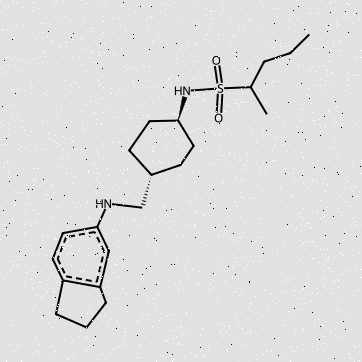 CCCC(C)S(=O)(=O)N[C@H]1CC[C@H](CNc2ccc3c(c2)CCC3)CC1